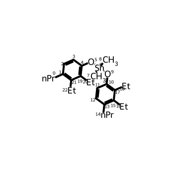 CCCc1ccc([O][Sn]([CH3])([CH3])[O]c2ccc(CCC)c(CC)c2CC)c(CC)c1CC